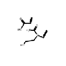 C=CC(=O)O.C=CN(CCO)C(N)=O